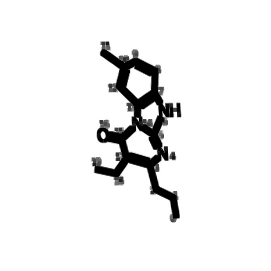 CCCc1nc2[nH]c3ccc(C)cc3n2c(=O)c1CC